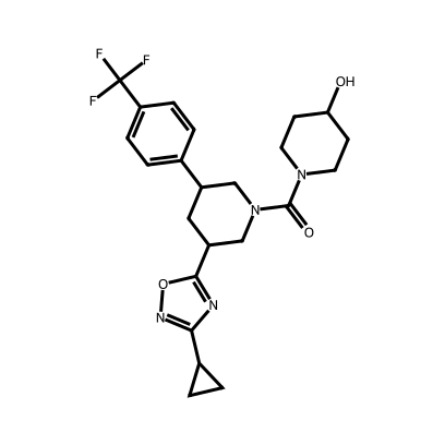 O=C(N1CCC(O)CC1)N1CC(c2ccc(C(F)(F)F)cc2)CC(c2nc(C3CC3)no2)C1